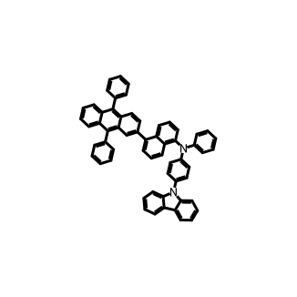 c1ccc(-c2c3ccccc3c(-c3ccccc3)c3cc(-c4cccc5c(N(c6ccccc6)c6ccc(-n7c8ccccc8c8ccccc87)cc6)cccc45)ccc23)cc1